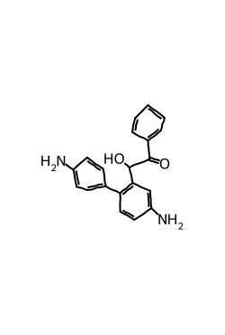 Nc1ccc(-c2ccc(N)cc2C(O)C(=O)c2ccccc2)cc1